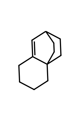 C1=C2CCCCC23CCC1CC3